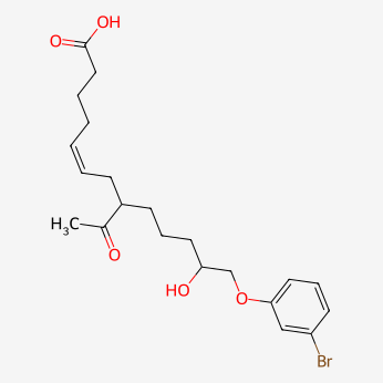 CC(=O)C(C/C=C\CCCC(=O)O)CCCC(O)COc1cccc(Br)c1